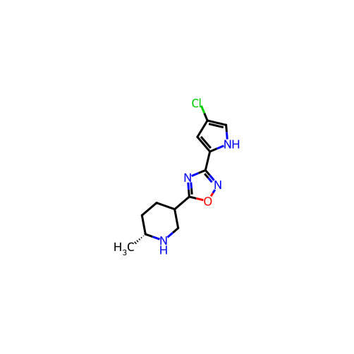 C[C@@H]1CCC(c2nc(-c3cc(Cl)c[nH]3)no2)CN1